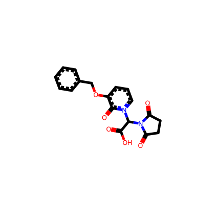 O=C(O)C(N1C(=O)CCC1=O)n1cccc(OCc2ccccc2)c1=O